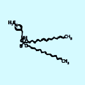 CCCCCCCCCCCCCCOP(=O)(OCCCCCCCCCCCCCC)ONCCC1=CCN(C)C=C1